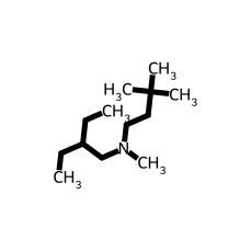 CCC(CC)CN(C)CCC(C)(C)C